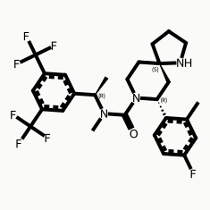 Cc1cc(F)ccc1[C@H]1C[C@]2(CCCN2)CCN1C(=O)N(C)[C@H](C)c1cc(C(F)(F)F)cc(C(F)(F)F)c1